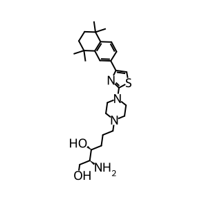 CC1(C)CCC(C)(C)c2cc(-c3csc(N4CCN(CCC[C@H](O)[C@@H](N)CO)CC4)n3)ccc21